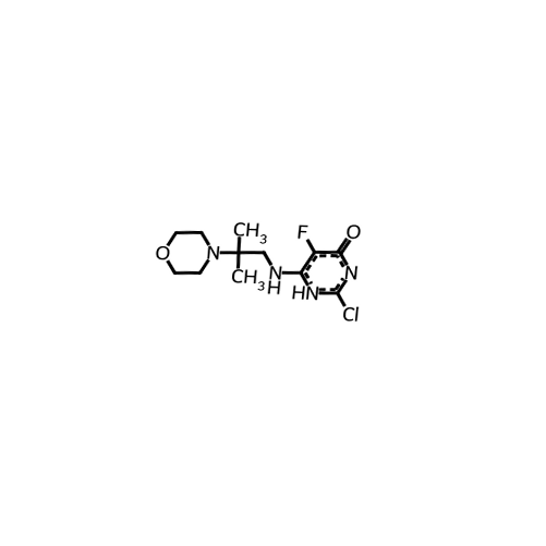 CC(C)(CNc1[nH]c(Cl)nc(=O)c1F)N1CCOCC1